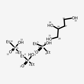 CCP(=O)(O)CC.CCP(=O)(O)CC.CCP(=O)(O)CC.OCCC(O)CO